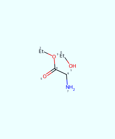 CCO.CCOC(=O)CN